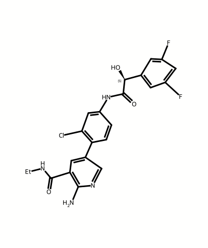 CCNC(=O)c1cc(-c2ccc(NC(=O)[C@@H](O)c3cc(F)cc(F)c3)cc2Cl)cnc1N